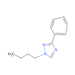 [CH2]CCCn1cnc(-c2ccccc2)n1